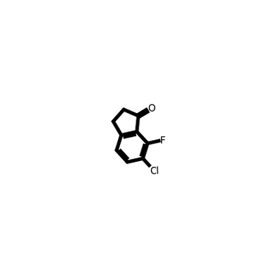 O=C1CCc2ccc(Cl)c(F)c21